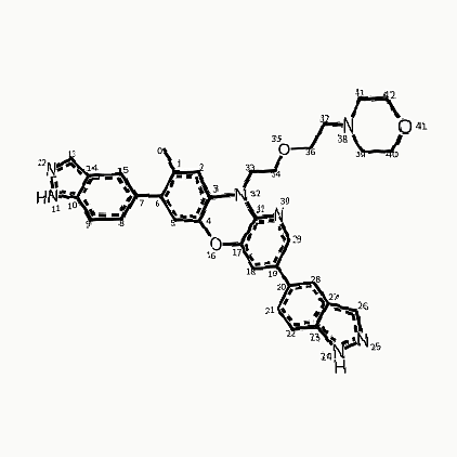 Cc1cc2c(cc1-c1ccc3[nH]ncc3c1)Oc1cc(-c3ccc4[nH]ncc4c3)cnc1N2CCOCCN1CCOCC1